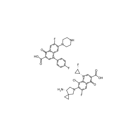 N[C@@H]1CN(c2c(F)cc3c(=O)c(C(=O)O)cn([C@@H]4C[C@@H]4F)c3c2Cl)CC12CC2.O=C(O)c1cn(-c2ccc(F)cc2)c2cc(N3CCNCC3)c(F)cc2c1=O